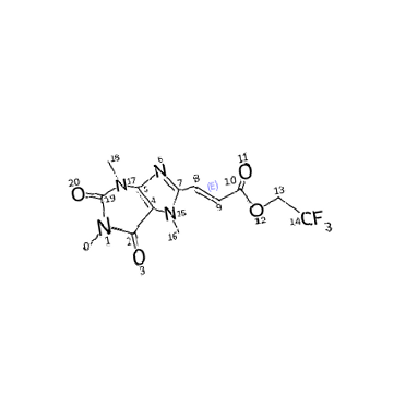 Cn1c(=O)c2c(nc(/C=C/C(=O)OCC(F)(F)F)n2C)n(C)c1=O